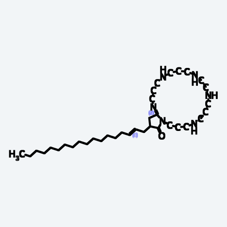 CCCCCCCCCCCCCCC/C=C/CC1C/C2=N/CCCNCCCNCCNCCCNCCCN2C1=O